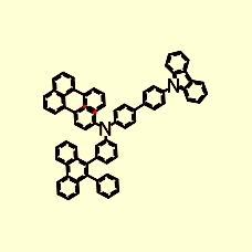 c1ccc(-c2c(-c3cccc(N(c4ccc(-c5ccc(-n6c7ccccc7c7ccccc76)cc5)cc4)c4ccc(-c5cccc6cccc(-c7ccccc7)c56)cc4)c3)c3ccccc3c3ccccc23)cc1